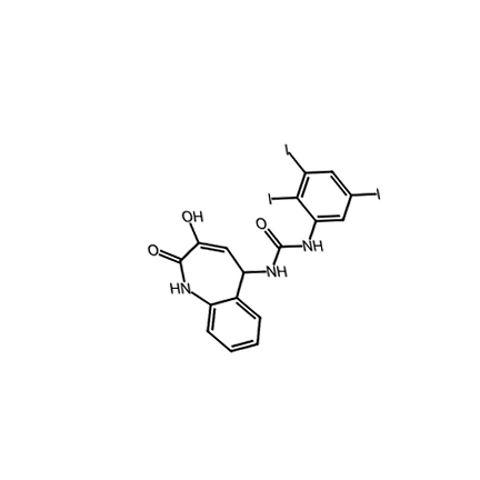 O=C(Nc1cc(I)cc(I)c1I)NC1C=C(O)C(=O)Nc2ccccc21